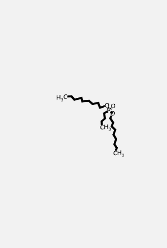 CCCCCCCCCOP(=O)(CCCC)OCCCCCCCCC